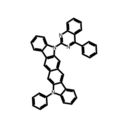 c1ccc(-c2nc(-n3c4ccccc4c4cc5cc6c(cc5cc43)c3ccccc3n6-c3ccccc3)nc3ccccc23)cc1